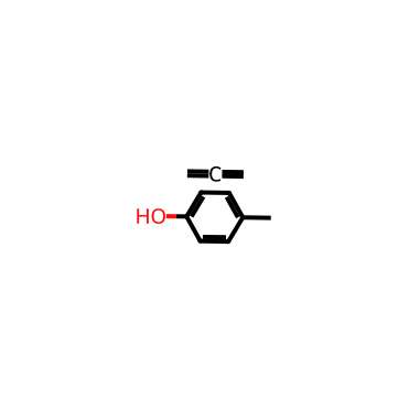 C=C=C.Cc1ccc(O)cc1